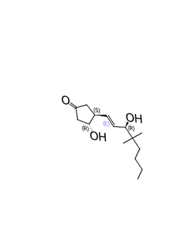 CCCCC(C)(C)[C@H](O)/C=C/[C@@H]1CC(=O)C[C@H]1O